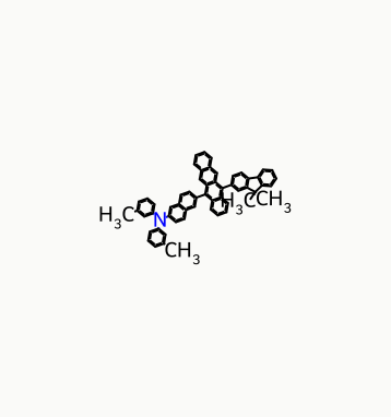 Cc1cccc(N(c2cccc(C)c2)c2ccc3cc(-c4c5ccccc5c(-c5ccc6c(c5)C(C)(C)c5ccccc5-6)c5cc6ccccc6cc45)ccc3c2)c1